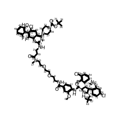 COc1cc(C(=O)NCCOCCOCCN(C)C(=O)CCNc2nc(N3CCN(C(=O)OC(C)(C)C)CC3)c3cc(Cl)c(-c4c(O)cccc4F)c(F)c3n2)ccc1NC(=O)[C@@H]1N[C@@H](CC(C)(C)C)[C@](C#N)(c2ccc(Cl)cc2F)[C@H]1c1cccc(Cl)c1F